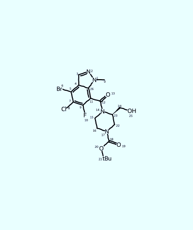 Cn1ncc2c(Br)c(Cl)c(F)c(C(=O)N3CCN(C(=O)OC(C)(C)C)C[C@@H]3CO)c21